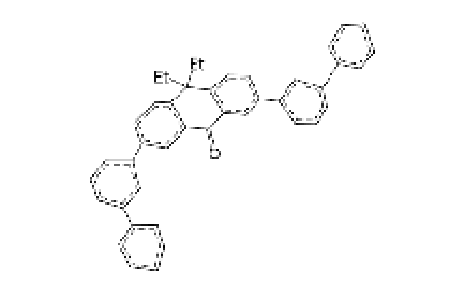 CCC1(CC)c2ccc(-c3cccc(-c4ccccc4)c3)cc2C(=O)c2cc(-c3cccc(-c4ccccc4)c3)ccc21